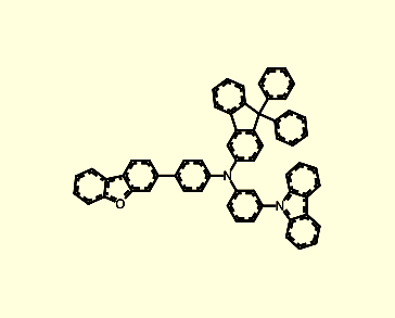 c1ccc(C2(c3ccccc3)c3ccccc3-c3cc(N(c4ccc(-c5ccc6c(c5)oc5ccccc56)cc4)c4cccc(-n5c6ccccc6c6ccccc65)c4)ccc32)cc1